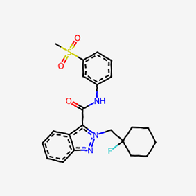 CS(=O)(=O)c1cccc(NC(=O)c2c3ccccc3nn2CC2(F)CCCCC2)c1